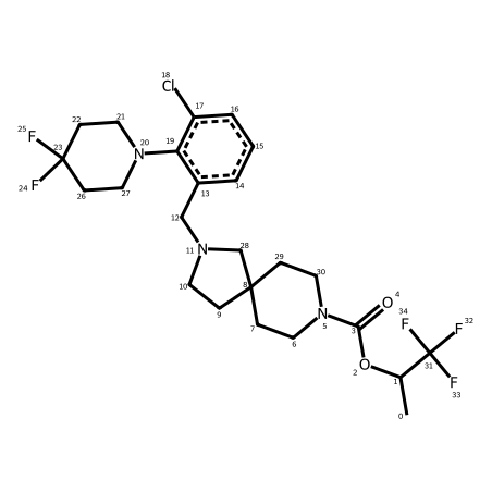 CC(OC(=O)N1CCC2(CCN(Cc3cccc(Cl)c3N3CCC(F)(F)CC3)C2)CC1)C(F)(F)F